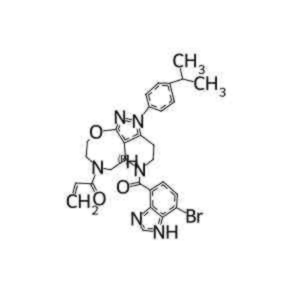 C=CC(=O)N1CCOc2nn(-c3ccc(C(C)C)cc3)c3c2[C@H](C1)N(C(=O)c1ccc(Br)c2[nH]cnc12)CC3